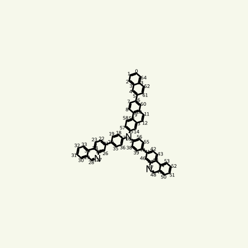 c1ccc2cc(-c3ccc4c(ccc5cc(N(c6ccc(-c7ccc8c(c7)ncc7ccccc78)cc6)c6ccc(-c7ccc8c(c7)ncc7ccccc78)cc6)ccc54)c3)ccc2c1